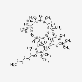 CCCCCCO[C@H]1[C@H](C)O[C@@H](O[C@H]2[C@H](C)[C@@H](O[C@@H]3O[C@H](C)C[C@H](N(C)C)[C@H]3O)[C@](C)(OC)C[C@@H](C)C(=O)[C@H](C)[C@@H](O)[C@](C)(O)[C@@H](CC)OC(=O)[C@@H]2C)C[C@@]1(C)OC